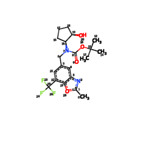 Cc1nc2cc(CN(C(=O)OC(C)(C)C)[C@H]3CCC[C@H]3O)cc(C(F)(F)F)c2o1